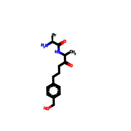 CC(NC(=O)[C@@H](N)C(C)C)C(=O)CCCc1ccc(CO)cc1